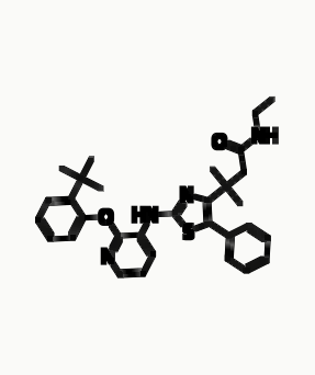 CCNC(=O)CC(C)(C)c1nc(Nc2cccnc2Oc2ccccc2C(C)(C)C)sc1-c1ccccc1